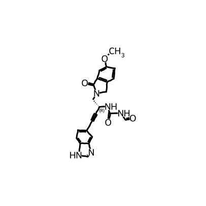 COc1ccc2c(c1)C(=O)N(C[C@@H](C#Cc1ccc3[nH]cnc3c1)NC(=O)NC=O)C2